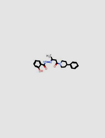 CC(CC(=O)N1CCC(c2ccccc2)CC1)=NNC(=O)c1ccccc1O